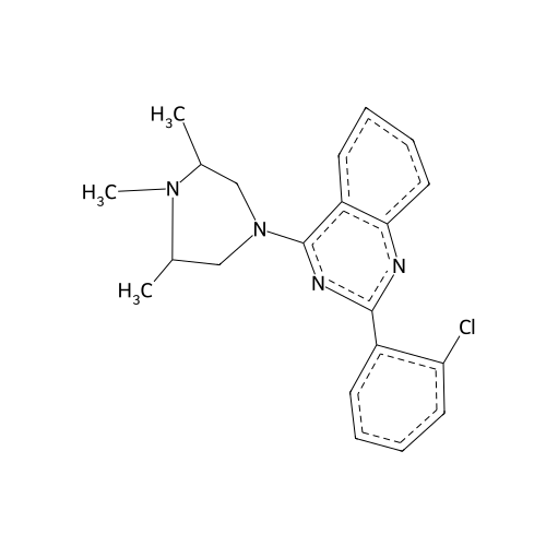 CC1CN(c2nc(-c3ccccc3Cl)nc3ccccc23)CC(C)N1C